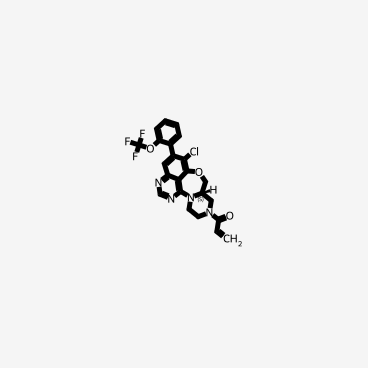 C=CC(=O)N1CCN2c3ncnc4cc(-c5ccccc5OC(F)(F)F)c(Cl)c(c34)OC[C@@H]2C1